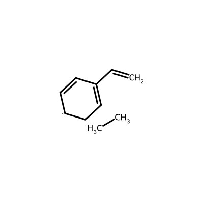 C=CC1=CC[CH]C=C1.CC